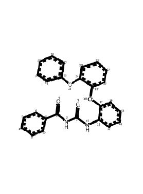 O=C(NC(=O)c1ccccc1)Nc1ccccc1Oc1ccccc1Oc1ccccc1